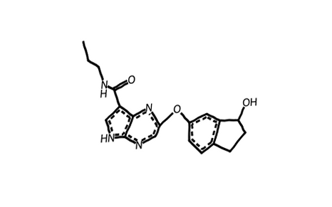 CCCNC(=O)c1c[nH]c2ncc(Oc3ccc4c(c3)C(O)CC4)nc12